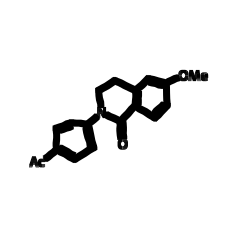 COc1ccc2c(c1)CCN(c1ccc(C(C)=O)cc1)C2=O